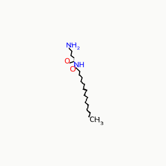 CCCCCCCCCCCCCCCC(=O)N[C@H](C=O)CCCCN